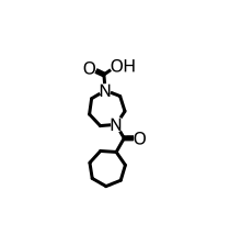 O=C(O)N1CCCN(C(=O)C2CCCCCC2)CC1